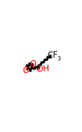 CC1=C(C)C(=O)C(CC[C@](C)(O)CCCCCCCCC(F)(F)F)=C(C)C1=O